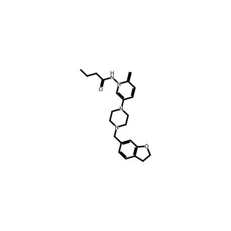 C=C1C=CC(N2CCN(Cc3ccc4c(c3)OCC4)CC2)=CN1NC(=O)CCC